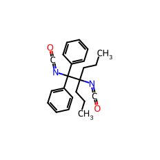 CCCC(CCC)(N=C=O)C(N=C=O)(c1ccccc1)c1ccccc1